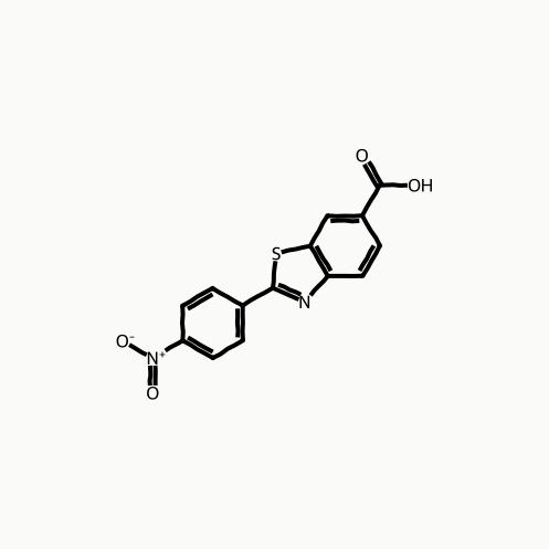 O=C(O)c1ccc2nc(-c3ccc([N+](=O)[O-])cc3)sc2c1